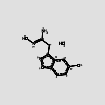 Cl.NC(Cc1noc2ccc(Cl)cc12)=NO